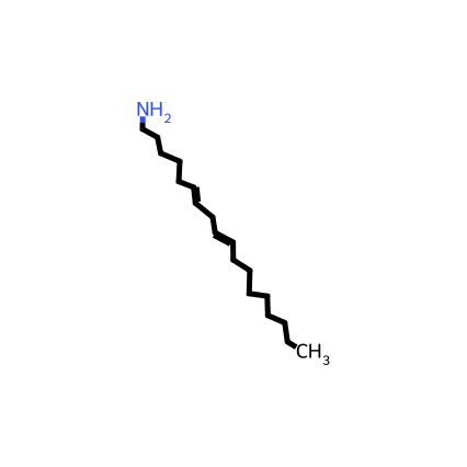 CCCCCCCCC=CCC=CCCCCCN